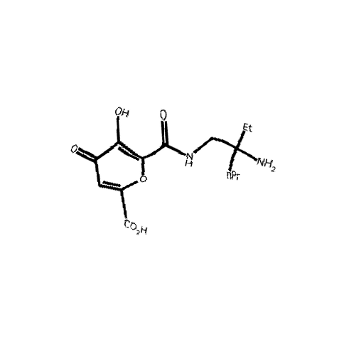 CCCC(N)(CC)CNC(=O)c1oc(C(=O)O)cc(=O)c1O